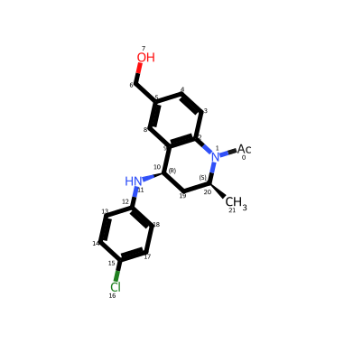 CC(=O)N1c2ccc(CO)cc2[C@H](Nc2ccc(Cl)cc2)C[C@@H]1C